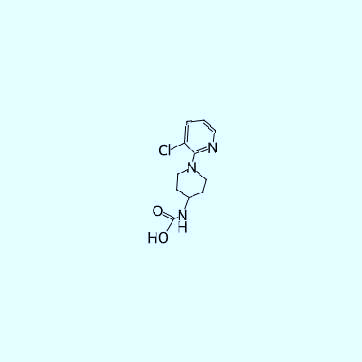 O=C(O)NC1CCN(c2ncccc2Cl)CC1